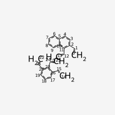 C=Cc1ccc2ccccc2c1C=C.C=Cc1cccc(C=C)c1C=C